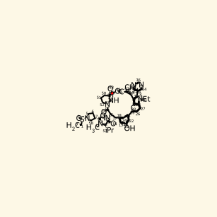 C=C[S+]([O-])N1CC[C@H](C(=O)N(C)[C@H](C(=O)N[C@H]2Cc3cc(O)cc(c3)-c3ccc4c(c3)c(c(-c3cncnc3)n4CC)CC(C)(C)COC(=O)[C@@H]3CCCN(N3)C2=O)C(C)C)C1